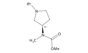 COC(=O)N(C)[C@@H]1CCN(C(C)C)C1